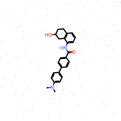 CN(C)c1ccc(-c2ccc(C(=O)Nc3cccc4c3CC(O)CC4)cc2)cc1